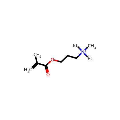 C=C(C)C(=O)OCCC[N+](C)(CC)CC